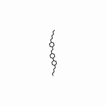 CCCCCCC1CCC(CCC2CCC(C3CCC(CCCCC)CC3)CC2)CC1